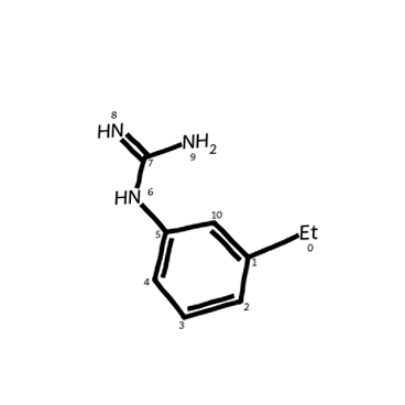 CCc1cccc(NC(=N)N)c1